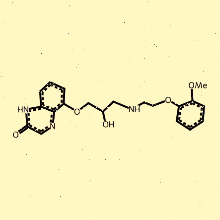 COc1ccccc1OCCNCC(O)COc1cccc2[nH]c(=O)cnc12